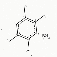 B.Cc1cc(C)c(C)cc1C